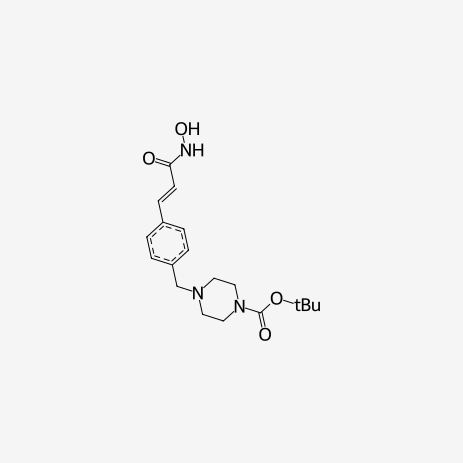 CC(C)(C)OC(=O)N1CCN(Cc2ccc(C=CC(=O)NO)cc2)CC1